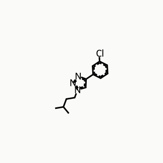 CC(C)CCn1cc(-c2cccc(Cl)c2)nn1